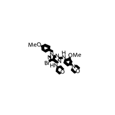 COc1ccc(Cn2nc(Br)c3c(NC4CCOCC4)nc(Nc4ccc(N5CCOCC5)cc4OC)nc32)cc1